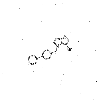 Brc1csc2ccn(Cc3ccc(-c4ccccc4)cc3)c12